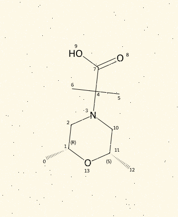 C[C@@H]1CN(C(C)(C)C(=O)O)C[C@H](C)O1